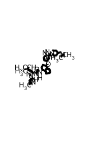 CN(C)CC1CCN(c2nnc3ccc(O[C@@H]4CC[C@H](NC(=O)Nc5cc(C(C)(C)C)nn5-c5cnn(C)c5)c5ccccc54)cn23)CC1